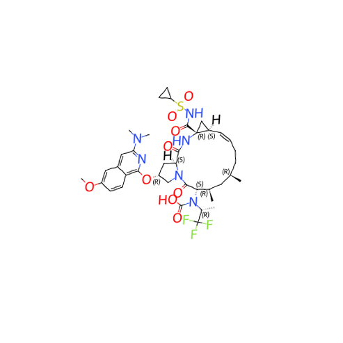 COc1ccc2c(O[C@@H]3C[C@H]4C(=O)N[C@]5(C(=O)NS(=O)(=O)C6CC6)C[C@H]5C=CCC[C@@H](C)C[C@@H](C)[C@H](N(C(=O)O)[C@H](C)C(F)(F)F)C(=O)N4C3)nc(N(C)C)cc2c1